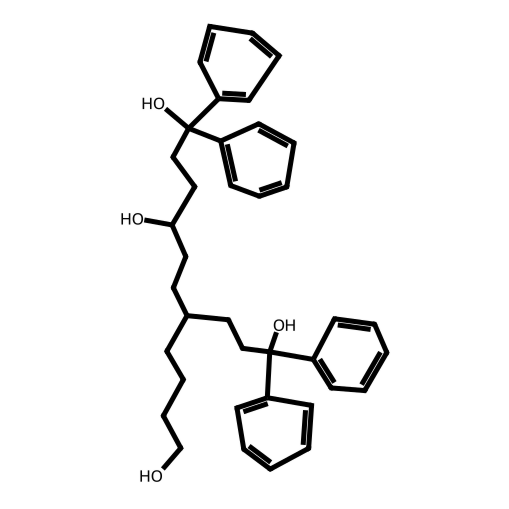 OCCCCC(CCC(O)CCC(O)(c1ccccc1)c1ccccc1)CCC(O)(c1ccccc1)c1ccccc1